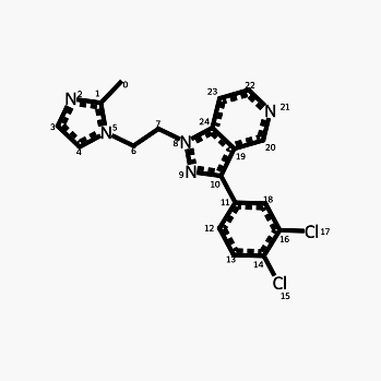 Cc1nccn1CCn1nc(-c2ccc(Cl)c(Cl)c2)c2cnccc21